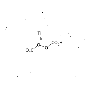 O=C(O)OOC(=O)O.[Ti].[Ti]